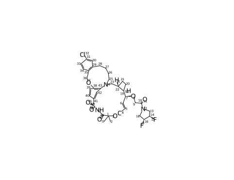 CC1(C)OC/C=C/[C@H](OCC(=O)N2C[C@@H](F)[C@@H](F)C2)[C@@H]2CC[C@H]2CN2CCCCc3cc(Cl)ccc3COc3ccc(cc32)S(=O)(=O)NC1=O